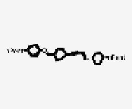 CCCCCc1ccc(OCC2CCC(C#C/C=C/[C@H]3CC[C@H](CCCCC)CC3)CC2)cc1